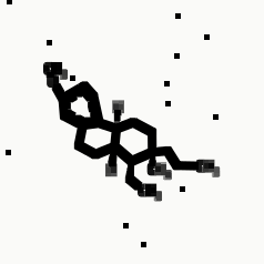 CCC[C@]1(C)CC[C@@H]2c3ccc(OC)cc3CC[C@H]2[C@@H]1CC